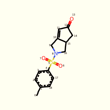 Cc1ccc(S(=O)(=O)N2CC3=CC(=O)CC3C2)cc1